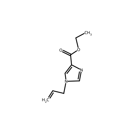 C=CCn1cnc(C(=O)OCC)c1